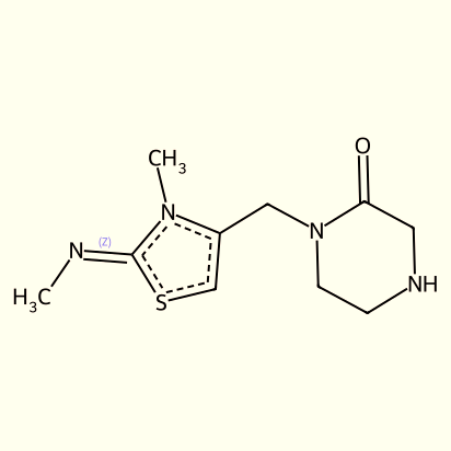 C/N=c1\scc(CN2CCNCC2=O)n1C